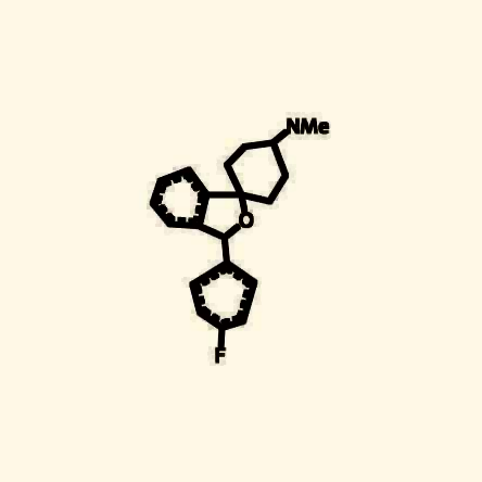 CNC1CCC2(CC1)OC(c1ccc(F)cc1)c1ccccc12